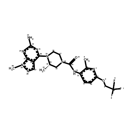 Cc1nc(OCC(F)(F)F)ccc1NC(=O)N1CCN(c2nc(N)nc3c2cnn3C)[C@@H](C)C1